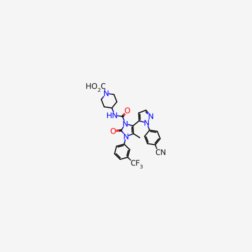 Cc1c(-c2ccnn2-c2ccc(C#N)cc2)n(C(=O)NC2CCN(C(=O)O)CC2)c(=O)n1-c1cccc(C(F)(F)F)c1